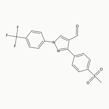 CS(=O)(=O)c1ccc(-c2nn(-c3ccc(C(F)(F)F)cc3)cc2C=O)cc1